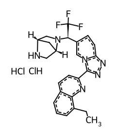 CCc1cccc2ccc(-c3nnc4ccc([C@@H](N5C[C@@H]6C[C@H]5CN6)C(F)(F)F)cn34)nc12.Cl.Cl